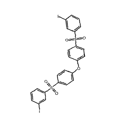 O=S(=O)(c1ccc(Oc2ccc(S(=O)(=O)c3cccc(I)c3)cc2)cc1)c1cccc(I)c1